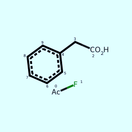 CC(=O)F.O=C(O)Cc1ccccc1